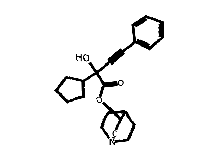 O=C(OC1CN2CCC1CC2)C(O)(C#Cc1ccccc1)C1CCCC1